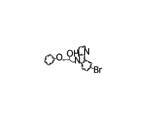 OC(COc1ccccc1)Cn1c2ccc(Br)cc2c2ncccc21